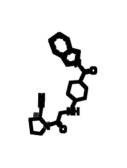 N#C[C@@H]1CCCN1C(=O)CNC1CCC(C(=O)n2cc3ccccc3c2)CC1